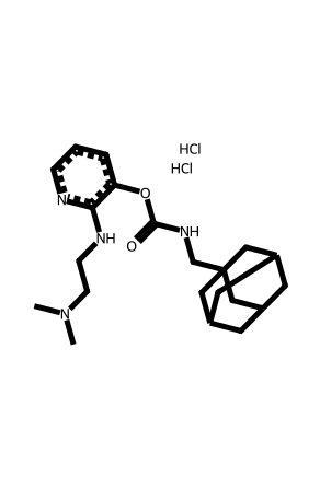 CN(C)CCNc1ncccc1OC(=O)NCC12CC3CC(CC(C3)C1)C2.Cl.Cl